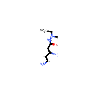 CN(CC(=O)O)NC(=O)CC(N)CCN